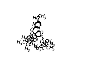 CNc1ccn([C@@H]2O[C@H](CO[Si](C)(C)C(C)(C)C)C(O[Si](C)(C)C(C)(C)C)C2OC)c(=O)n1